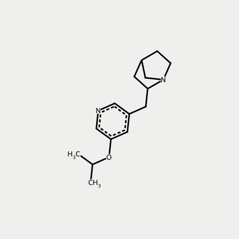 CC(C)Oc1cncc(CC2CC3CCN2C3)c1